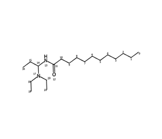 CCCCCCCCCCCC(=O)NC(CC)N(CC)CC